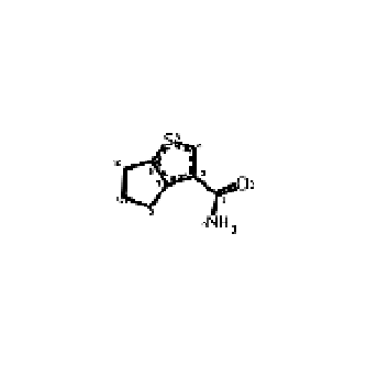 NC(=O)c1csc2c1C[C]C2